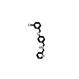 Clc1cccc(COc2ccc(CNCc3ccccn3)cc2)c1